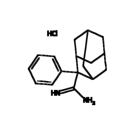 Cl.N=C(N)C1(c2ccccc2)C2CC3CC(C2)CC1C3